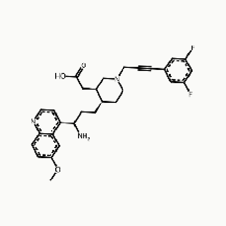 COc1ccc2nccc(C(N)CC[C@@H]3CCN(CC#Cc4cc(F)cc(F)c4)C[C@@H]3CC(=O)O)c2c1